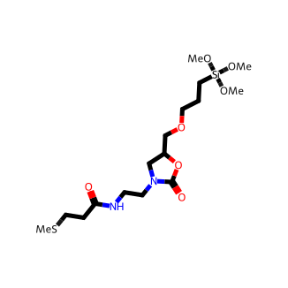 CO[Si](CCCOCC1CN(CCNC(=O)CCSC)C(=O)O1)(OC)OC